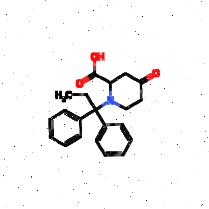 CCC(c1ccccc1)(c1ccccc1)N1CCC(=O)CC1C(=O)O